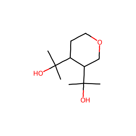 CC(C)(O)C1CCOCC1C(C)(C)O